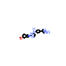 COc1ccc2cn(-c3nccc(Nc4ccc(-c5cn[nH]c5)cc4)n3)cc2c1